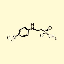 CS(=O)(=O)CCNc1ccc([N+](=O)[O-])cc1